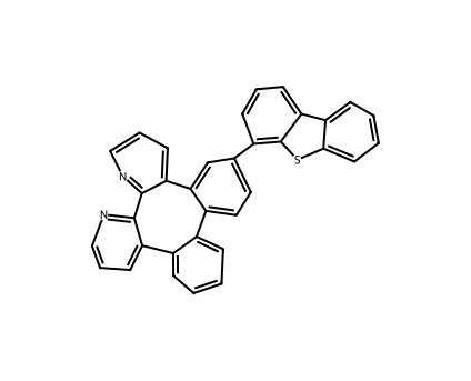 c1ccc2c(c1)-c1ccc(-c3cccc4c3sc3ccccc34)cc1-c1cccnc1-c1ncccc1-2